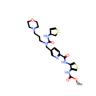 CC(C)(C)OC(=O)Nc1cscc1NC(=O)c1ccc(CN(CCCN2CCOCC2)C(=O)NC2C=CSC2)cn1